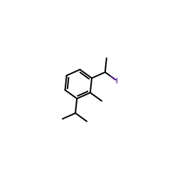 Cc1c(C(C)C)cccc1C(C)I